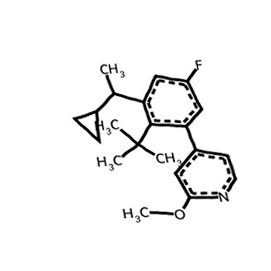 COc1cc(-c2cc(F)cc(C(C)C3CC3)c2C(C)(C)C)ccn1